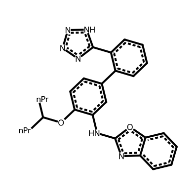 CCCC(CCC)Oc1ccc(-c2ccccc2-c2nnn[nH]2)cc1Nc1nc2ccccc2o1